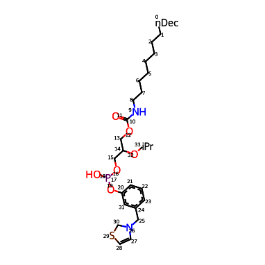 CCCCCCCCCCCCCCCCCCNC(=O)OCC(COP(O)Oc1cccc(CN2C=CSC2)c1)OC(C)C